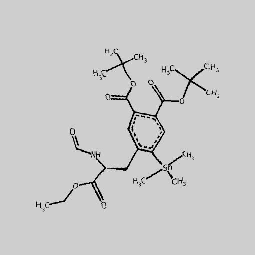 CCOC(=O)[C@H](Cc1cc(C(=O)OC(C)(C)C)c(C(=O)OC(C)(C)C)c[c]1[Sn]([CH3])([CH3])[CH3])NC=O